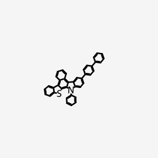 c1ccc(-c2ccc(-c3ccc4c(c3)c3c5ccccc5c5c6ccccc6sc5c3n4-c3ccccc3)cc2)cc1